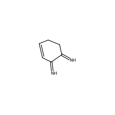 N=C1C=CCCC1=N